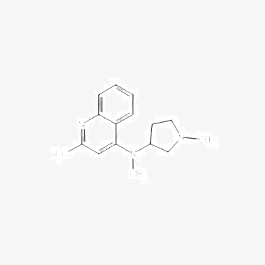 Cc1cc(N(C)C2CCN(C)C2)c2ccccc2n1